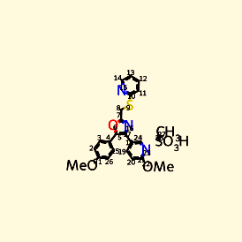 COc1ccc(-c2oc(CSc3ccccn3)nc2-c2ccc(OC)nc2)cc1.CS(=O)(=O)O